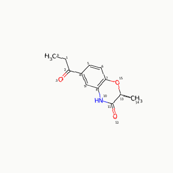 CCC(=O)c1ccc2c(c1)NC(=O)C(C)O2